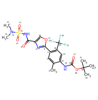 Cc1cc(-c2nc(C(=O)NS(=O)(=O)N(C)C)co2)c(C(F)(F)F)cc1NC(=O)OC(C)(C)C